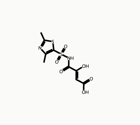 Cc1nc(C)c(S(=O)(=O)NC(=O)C(O)=CC(=O)O)s1